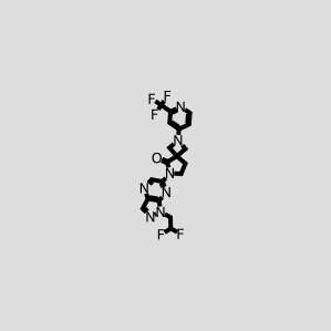 O=C1N(c2cnc3cnn(CC(F)F)c3n2)CCC12CN(c1ccnc(C(F)(F)F)c1)C2